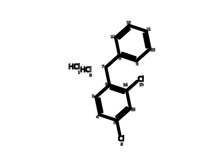 Cl.Cl.Clc1ccc(Cc2ccccc2)c(Cl)c1